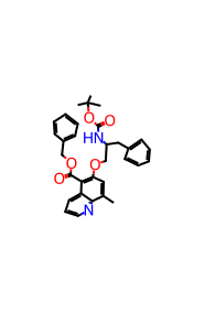 Cc1cc(OCC(Cc2ccccc2)NC(=O)OC(C)(C)C)c(C(=O)OCc2ccccc2)c2cccnc12